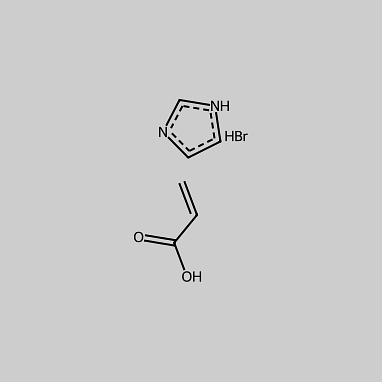 Br.C=CC(=O)O.c1c[nH]cn1